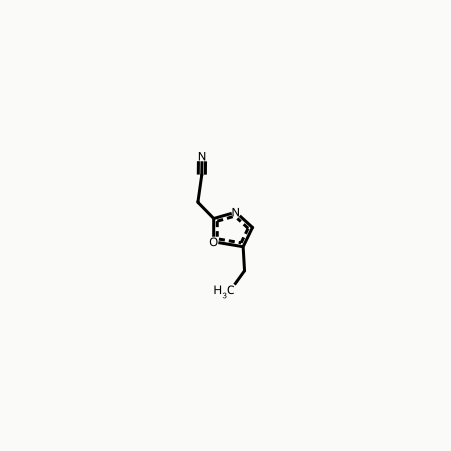 CCc1cnc(CC#N)o1